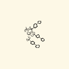 CC(=O)OC1S[C@@H](COC(=O)c2ccc(-c3ccccc3)cc2)[C@@H](OC(=O)c2ccc(-c3ccccc3)cc2)[C@@H]1OC(=O)c1ccc(-c2ccccc2)cc1